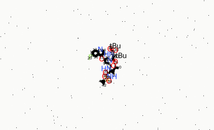 C=CC1C[C@]1(NC(=O)[C@@H]1C[C@@H](Oc2ccnc3ccc(F)cc23)CN1C(=O)[C@@H](NC(=O)OC(C)(C)C)C(C)(C)C)C(=O)NS(=O)(=O)C1CC1